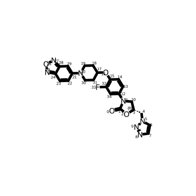 O=C1O[C@@H](Cn2ccnn2)CN1c1ccc(OC2CCN(c3ccc4nonc4c3)CC2)c(F)c1